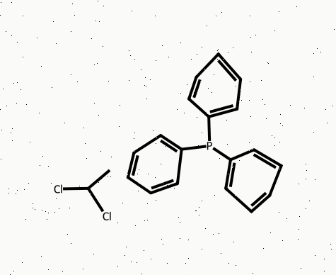 CC(Cl)Cl.c1ccc(P(c2ccccc2)c2ccccc2)cc1